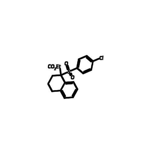 CCOC(=O)C1(S(=O)(=O)c2ccc(Cl)cc2)CCCc2ccccc21